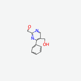 O=Cc1ncc(CO)c(-c2ccccc2)n1